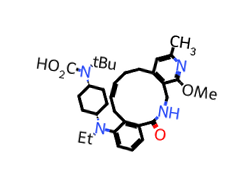 CCN(c1cccc2c1C/C=C\CCc1cc(C)nc(OC)c1CNC2=O)[C@H]1CC[C@@H](N(C(=O)O)C(C)(C)C)CC1